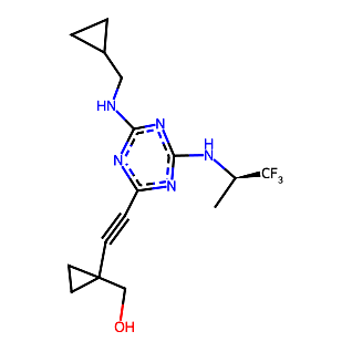 C[C@@H](Nc1nc(C#CC2(CO)CC2)nc(NCC2CC2)n1)C(F)(F)F